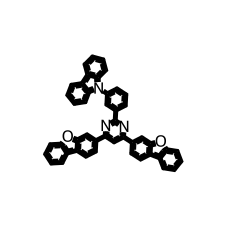 c1cc(-c2nc(-c3ccc4c(c3)oc3ccccc34)cc(-c3ccc4c(c3)oc3ccccc34)n2)cc(-n2c3ccccc3c3ccccc32)c1